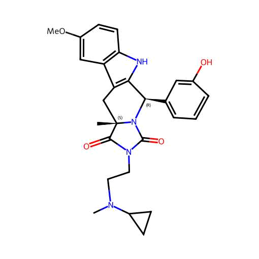 COc1ccc2[nH]c3c(c2c1)C[C@@]1(C)C(=O)N(CCN(C)C2CC2)C(=O)N1[C@@H]3c1cccc(O)c1